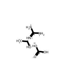 CCO.N=C(N)N.O=C(O)O